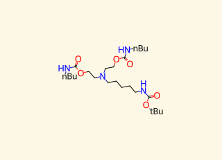 CCCCNC(=O)OCCN(CCCCCNC(=O)OC(C)(C)C)CCOC(=O)NCCCC